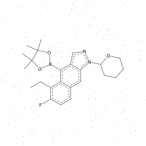 CCc1c(F)ccc2cc3c(cnn3C3CCCCO3)c(B3OC(C)(C)C(C)(C)O3)c12